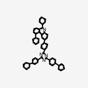 c1ccc(-c2ccc(-c3nc(-c4ccc(-c5ccccc5)cc4)nc(-c4ccc(-c5ccc6nc(-c7ccccc7)c7cccc(-c8ccccc8)c7c6c5)cc4)n3)cc2)cc1